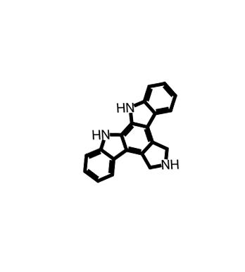 c1ccc2c(c1)[nH]c1c3[nH]c4ccccc4c3c3c(c21)CNC3